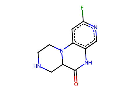 O=C1Nc2cnc(F)cc2N2CCNCC12